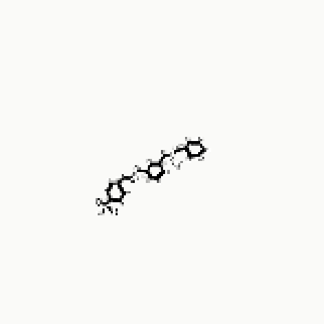 CS(=O)(=O)c1ccc(CSSc2cccc(C[S+]([O-])Cc3ccccc3)c2)cc1